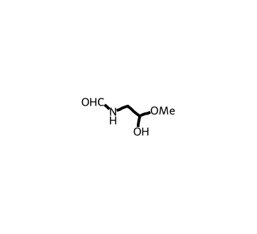 COC(O)CNC=O